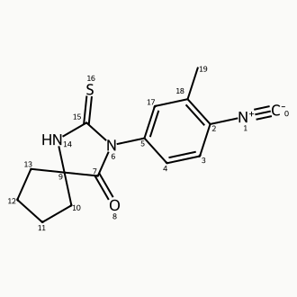 [C-]#[N+]c1ccc(N2C(=O)C3(CCCC3)NC2=S)cc1C